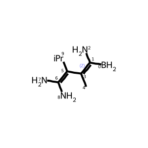 B/C(N)=C(\C)C(=C(N)N)C(C)C